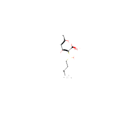 CCCCCCCCCCCC[S+]([O-])c1c(O)cc(C)oc1=O